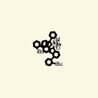 CCC(C)c1ccccc1-c1cccc2c1C=C(c1ccccc1)[CH]2[Zr]([Cl])([Cl])([CH]1C(c2ccccc2)=Cc2c(-c3ccccc3C(C)CC)cccc21)[SiH](C)C